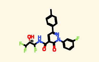 Cc1ccc(-c2cc(C(=O)NC(F)[C@@H](O)C(F)F)c(=O)n(-c3cccc(F)c3)n2)cc1